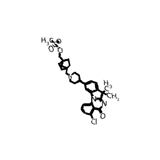 CC1(C)c2ccc(C3CCN(CC45CCC(COS(C)(=O)=O)(CC4)C5)CC3)cc2-n2c1nc(=O)c1c(Cl)cccc12